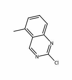 Cc1cccc2nc(Cl)ncc12